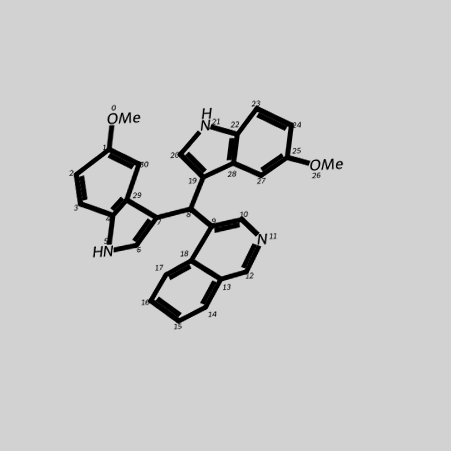 COc1ccc2[nH]cc(C(c3cncc4ccccc34)c3c[nH]c4ccc(OC)cc34)c2c1